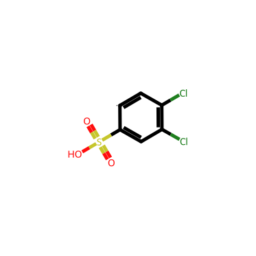 O=S(=O)(O)c1[c]cc(Cl)c(Cl)c1